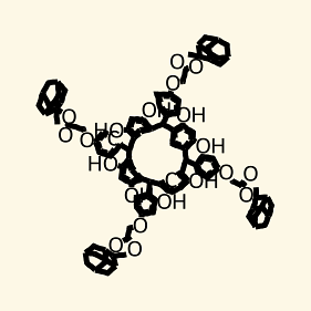 CC1(OC(=O)COc2ccc(C3c4cc(c(O)cc4O)C(c4ccc(OCC(=O)OC5(C)C6CC7CC(C6)CC5C7)cc4)c4cc(c(O)cc4O)C(c4ccc(OCC(=O)OC5(C)C6CC7CC(C6)CC5C7)cc4)c4cc(c(O)cc4O)C(c4ccc(OCC(=O)OC5(C)C6CC7CC(C6)CC5C7)cc4)c4cc3c(O)cc4O)cc2)C2CC3CC(C2)CC1C3